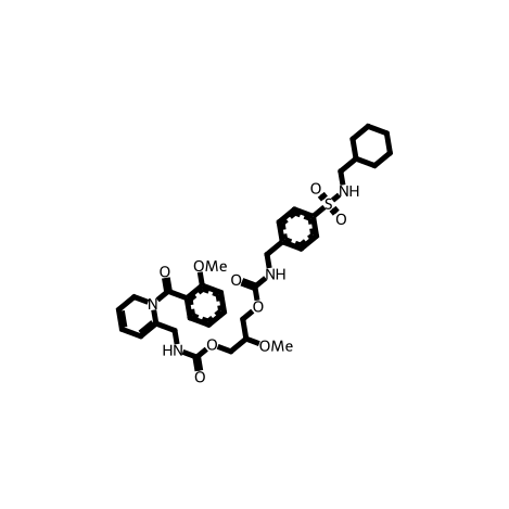 COc1ccccc1C(=O)N1CC=CC=C1CNC(=O)OCC(COC(=O)NCc1ccc(S(=O)(=O)NCC2CCCCC2)cc1)OC